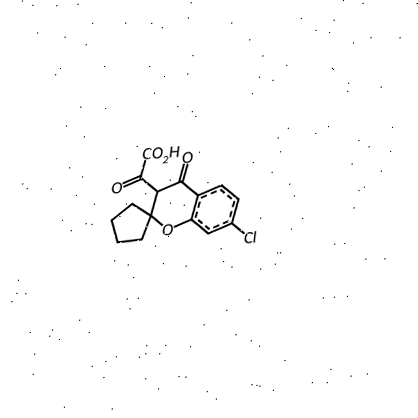 O=C(O)C(=O)C1C(=O)c2ccc(Cl)cc2OC12CCCC2